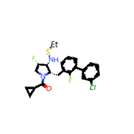 CCSN[C@H]1[C@@H](F)CN(C(=O)C2CC2)[C@H]1Cc1cccc(-c2cccc(Cl)c2)c1F